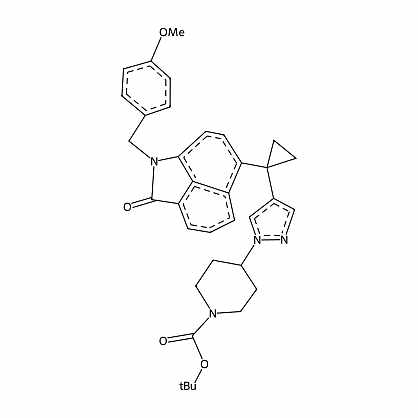 COc1ccc(CN2C(=O)c3cccc4c(C5(c6cnn(C7CCN(C(=O)OC(C)(C)C)CC7)c6)CC5)ccc2c34)cc1